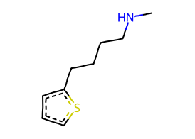 CNCCCCc1cccs1